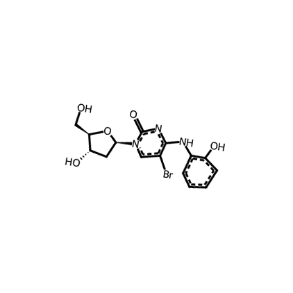 O=c1nc(Nc2ccccc2O)c(Br)cn1[C@H]1C[C@H](O)[C@@H](CO)O1